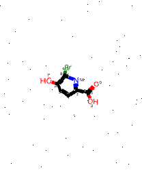 O=C(O)c1ccc(O)c(Br)n1